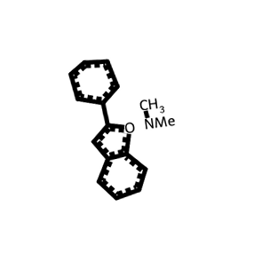 CNC.c1ccc(-c2cc3ccccc3o2)cc1